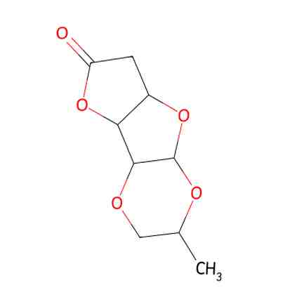 CC1COC2C(O1)OC1CC(=O)OC12